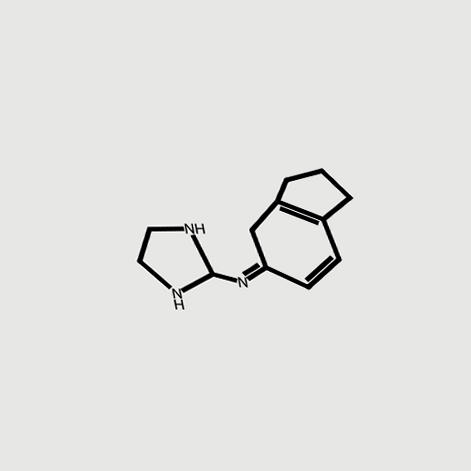 C1=CC2=C(CCC2)CC1=NC1NCCN1